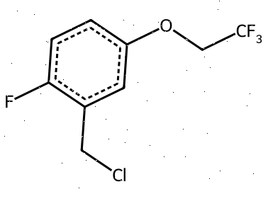 Fc1ccc(OCC(F)(F)F)cc1CCl